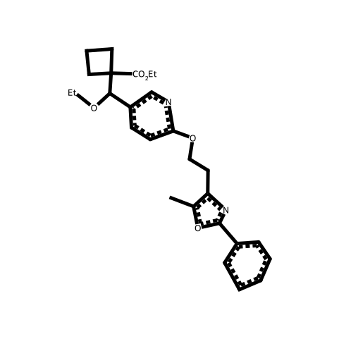 CCOC(=O)C1(C(OCC)c2ccc(OCCc3nc(-c4ccccc4)oc3C)nc2)CCC1